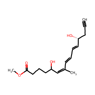 C#CC[C@@H](O)/C=C/C=C/C(C)=C\C(O)CCCC(=O)OC